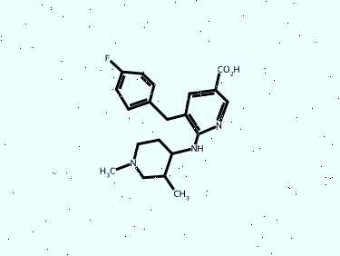 CC1CN(C)CCC1Nc1ncc(C(=O)O)cc1Cc1ccc(F)cc1